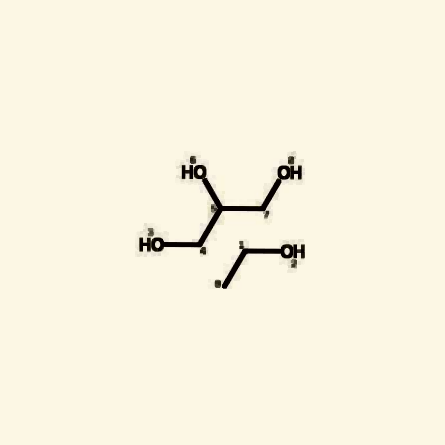 CCO.OCC(O)CO